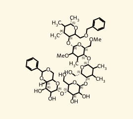 COC[C@@H]1O[C@@H](O[C@@H]2C(COCc3ccccc3)O[C@@H](C)C(C)[C@H]2C)C(OC)C(C)[C@@H]1O[C@H]1O[C@@H](CO)[C@@H](O[C@@H]2OC(CO)[C@@H](O[C@H]3OC4COC(c5ccccc5)O[C@H]4[C@H](O)C3O)[C@H](O)C2O)C(C)C1C